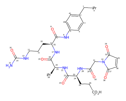 CC(C)Cc1ccc(NC(=O)[C@H](CCCNC(N)=O)NC(=O)[C@@H](NC(=O)[C@H](CCC(=O)O)NC(=O)CN2C(=O)C=CC2=O)C(C)C)cc1